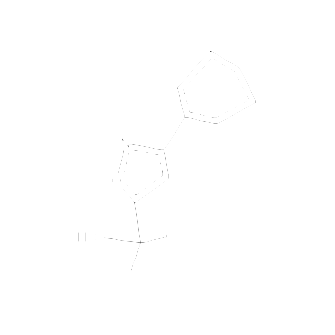 CC(C)(O)c1cc(-c2ccccc2)no1